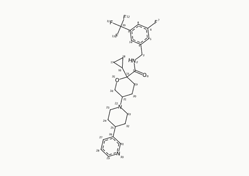 O=C(NCc1cc(F)cc(C(F)(F)F)c1)C1(C2CC2)CCC(N2CCC(c3cccnc3)CC2)CO1